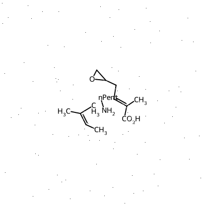 CC(=CCC1CO1)C(=O)O.CC=C(C)C.CCCCCN